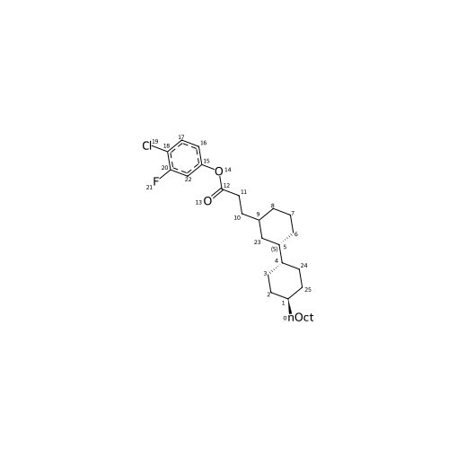 CCCCCCCC[C@H]1CC[C@H]([C@H]2CCCC(CCC(=O)Oc3ccc(Cl)c(F)c3)C2)CC1